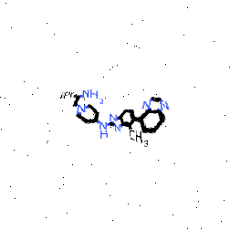 CC1=C2N=C(NC3CCN(CC(N)C(C)C)CC3)N=C2CC=C1C1CCCc2nccnc21